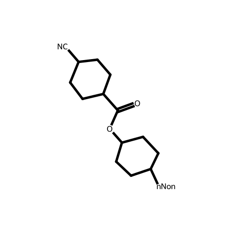 CCCCCCCCCC1CCC(OC(=O)C2CCC(C#N)CC2)CC1